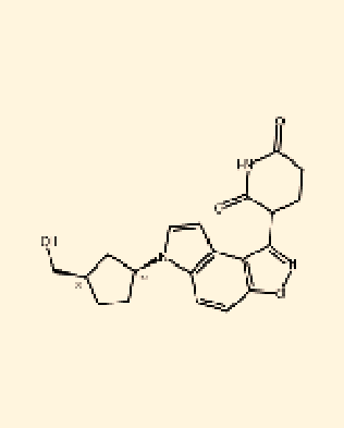 O=C1CCC(c2noc3ccc4c(ccn4[C@H]4CC[C@@H](CO)C4)c23)C(=O)N1